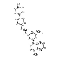 C[C@@H]1CN(c2ccc(C#N)c3nccnc23)C[C@H](CNCc2ccc(N3CCNCC3)cc2)O1